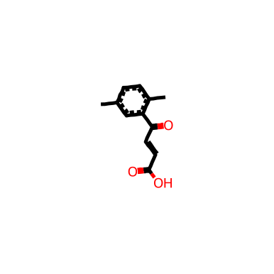 Cc1ccc(C)c(C(=O)/C=C/C(=O)O)c1